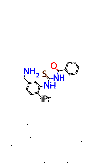 CC(C)c1ccc(CN)cc1NC(=S)NC(=O)c1ccccc1